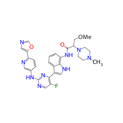 COCC(C(=O)Nc1cccc2c(-c3nc(Nc4ccc(-c5cnco5)nc4)ncc3F)c[nH]c12)N1CCN(C)CC1